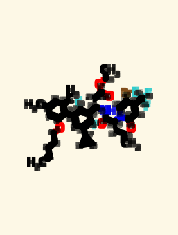 C=CCCCOc1cc(C)cc(C)c1-c1cc(C2CC2)c(F)c([C@H](CC(=O)OCC)NC(=O)[C@H](CC=C)n2cc(Br)c(C(F)(F)F)cc2=O)c1F